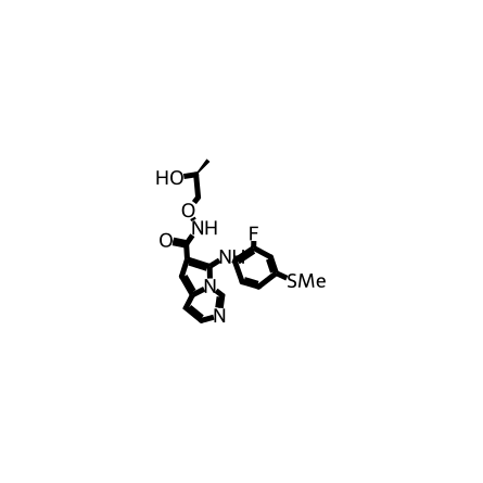 CSc1ccc(Nc2c(C(=O)NOC[C@H](C)O)cc3ccncn23)c(F)c1